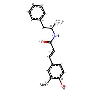 COc1cc(/C=C/C(=O)N[C@@H](Cc2ccccc2)C(=O)O)ccc1O